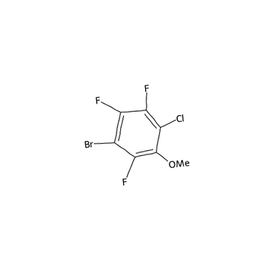 COc1c(F)c(Br)c(F)c(F)c1Cl